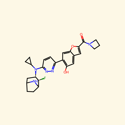 O=C(c1cc2cc(O)c(-c3ccc(N(C4CC4)[C@@H]4CC5CCC(N5)[C@@H]4F)nn3)cc2o1)N1CCC1